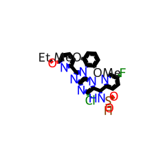 CCOc1cccc(-c2nc3nc(Cl)c(C(N[SH](=O)=O)c4ccc(F)cn4)nc3n2-c2c(OC)cccc2OC)n1